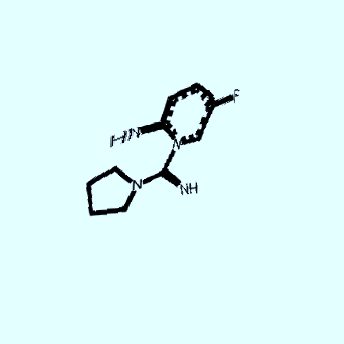 N=C(N1CCCC1)n1cc(F)ccc1=N